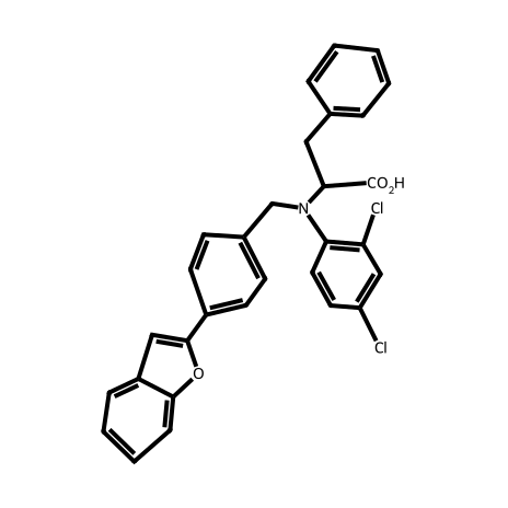 O=C(O)C(Cc1ccccc1)N(Cc1ccc(-c2cc3ccccc3o2)cc1)c1ccc(Cl)cc1Cl